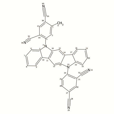 Cc1cc(-n2c3ccccc3c3cc4c(cc32)c2ccccc2n4-c2ccc(C#N)cc2C#N)c(C#N)cc1C#N